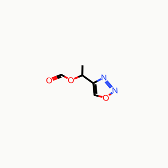 CC(OC=O)c1conn1